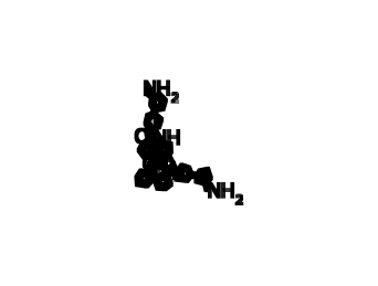 NCc1cccc(C2CCN(C(=O)c3cccc(-c4ccccc4B4OC(=O)[C@@](c5ccccc5)(c5cccc6[nH]c(C(=O)N7CCC(c8cccc(CN)c8)CC7)cc56)O4)c3)CC2)c1